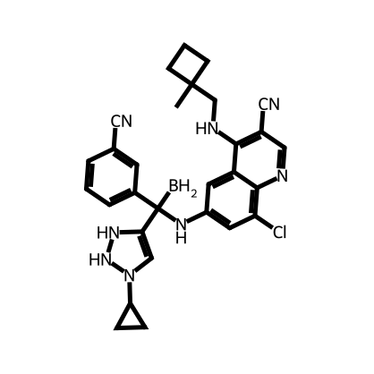 BC(Nc1cc(Cl)c2ncc(C#N)c(NCC3(C)CCC3)c2c1)(C1=CN(C2CC2)NN1)c1cccc(C#N)c1